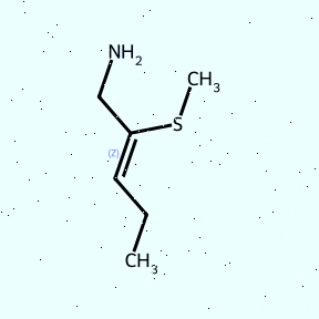 CC/C=C(/CN)SC